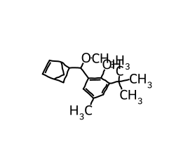 COC(c1cc(C)cc(C(C)(C)C)c1O)C1CC2C=CC1C2